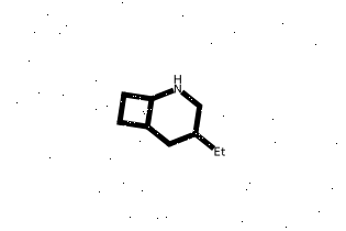 CCC1CNC2CCC2C1